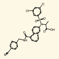 CC(C(=O)O)N(c1ccc2c(C(=O)NCc3ccc(C#N)cc3)cccc2c1)S(=O)(=O)c1cc(Cl)cc(Cl)c1